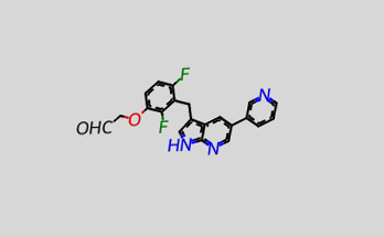 O=CCOc1ccc(F)c(Cc2c[nH]c3ncc(-c4cccnc4)cc23)c1F